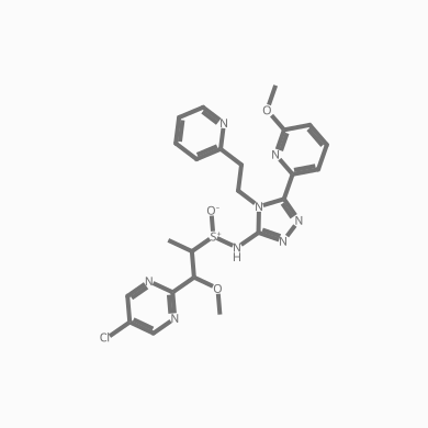 COc1cccc(-c2nnc(N[S+]([O-])C(C)C(OC)c3ncc(Cl)cn3)n2CCc2ccccn2)n1